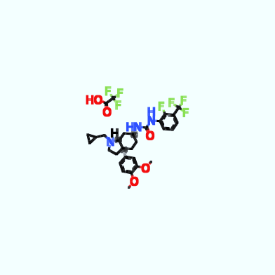 COc1ccc([C@@]23CC[C@@H](NC(=O)Nc4cccc(C(F)(F)F)c4F)C[C@@H]2N(CC2CC2)CC3)cc1OC.O=C(O)C(F)(F)F